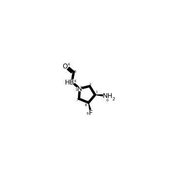 N[C@@H]1CN(BC=O)C[C@@H]1F